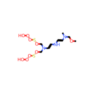 COCN(C)C=CNC=CN(COSOOO)COSOOO